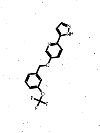 FC(F)(F)Oc1cccc(COc2ccc(-c3ccn[nH]3)nc2)c1